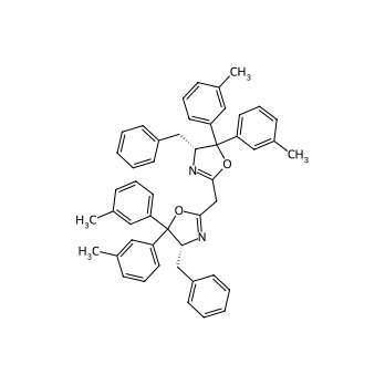 Cc1cccc(C2(c3cccc(C)c3)OC(CC3=N[C@H](Cc4ccccc4)C(c4cccc(C)c4)(c4cccc(C)c4)O3)=N[C@@H]2Cc2ccccc2)c1